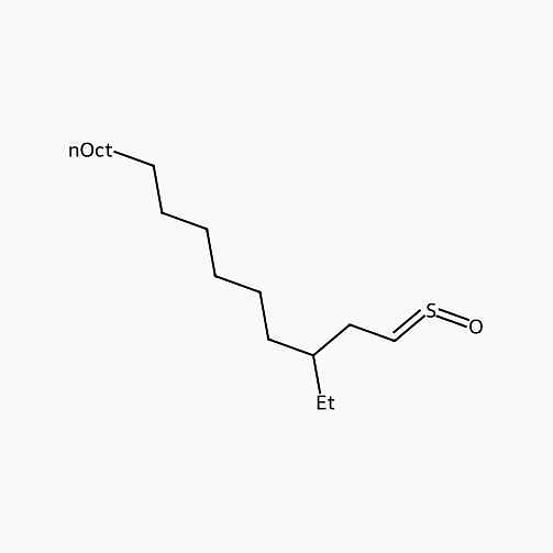 CCCCCCCCCCCCCCC(CC)CC=S=O